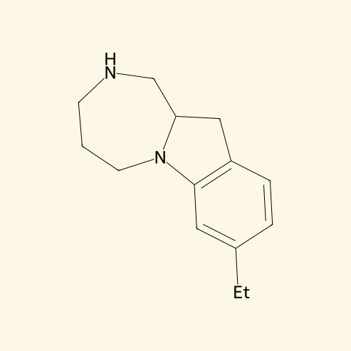 CCc1ccc2c(c1)N1CCCNCC1C2